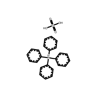 O=S(=O)(O)O.c1ccc([PH](c2ccccc2)(c2ccccc2)c2ccccc2)cc1